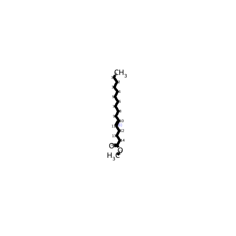 CCCCCCCCCC/C=C/CCCC(=O)OC